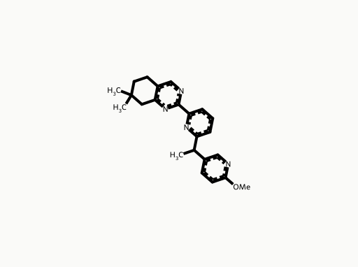 COc1ccc(C(C)c2cccc(-c3ncc4c(n3)CC(C)(C)CC4)n2)cn1